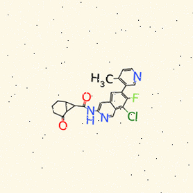 Cc1ccncc1-c1cc2cc(NC(=O)C3C4CCCC(=O)C43)ncc2c(Cl)c1F